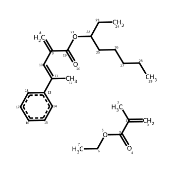 C=C(C)C(=O)OCC.C=C(C=C(C)c1ccccc1)C(=O)OC(CC)CCCCC